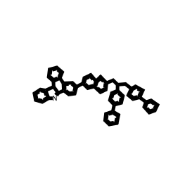 c1ccc(-c2ccc(CC(Cc3ccc4cc(-c5ccc6c(c5)-c5ccccc5C5C6=Nc6ccccc65)ccc4c3)c3ccc(-c4ccccc4)cc3)cc2)cc1